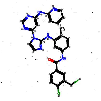 Cc1ccc(NC(=O)c2ccc(Cl)c(CF)c2)cc1Nc1nccn1-c1cc(Nc2ccccn2)ncn1